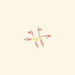 O=P(O)(O)S(=O)(=O)O